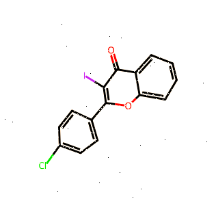 O=c1c(I)c(-c2ccc(Cl)cc2)oc2ccccc12